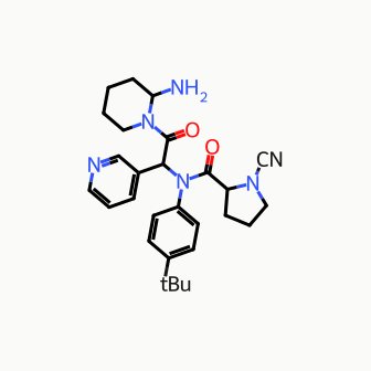 CC(C)(C)c1ccc(N(C(=O)C2CCCN2C#N)C(C(=O)N2CCCCC2N)c2cccnc2)cc1